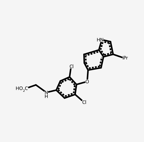 CC(C)c1c[nH]c2ccc(Oc3c(Cl)cc(NCC(=O)O)cc3Cl)cc12